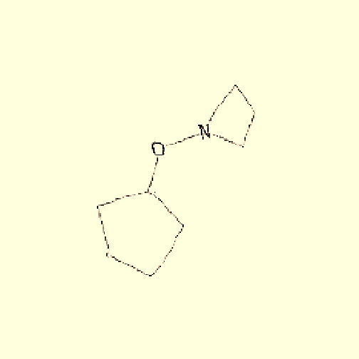 C1CC[C](ON2CCC2)C1